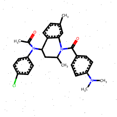 CC(=O)N(c1ccc(Cl)cc1)C1CC(C)N(C(=O)c2ccc(N(C)C)cc2)c2cc(C)ccc21